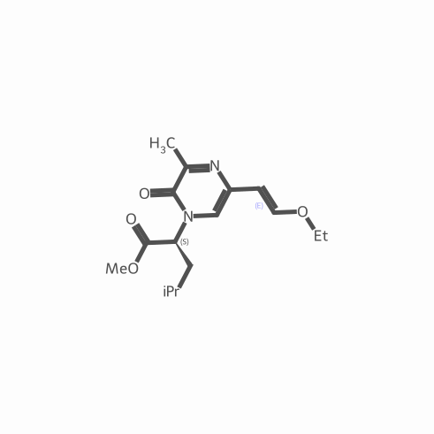 CCO/C=C/c1cn([C@@H](CC(C)C)C(=O)OC)c(=O)c(C)n1